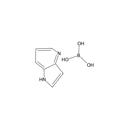 OB(O)O.c1cnc2cc[nH]c2c1